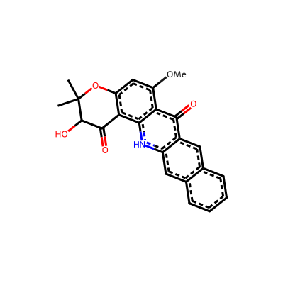 COc1cc2c(c3[nH]c4cc5ccccc5cc4c(=O)c13)C(=O)C(O)C(C)(C)O2